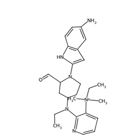 CCN(c1ncccc1[N+](C)(C)CC)C1CCN(c2cc3cc(N)ccc3[nH]2)C(C=O)C1